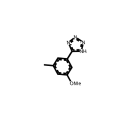 [CH2]Oc1cc(C)cc(-c2nnn[nH]2)c1